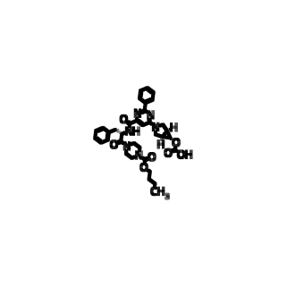 CCCCOC(=O)N1CCN(C(=O)[C@H](Cc2ccccc2)NC(=O)c2cc(N3C[C@@H]4[C@H](C3)[C@H]4OC(=O)O)nc(-c3ccccc3)n2)CC1